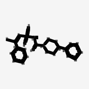 CC(=CS(=O)(=O)NC(=O)N1CCC(c2ccccc2)CC1)c1ccccc1